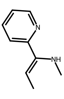 C/C=C(\NC)c1ccccn1